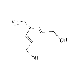 CCP(C=CCO)C=CCO